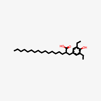 CCCCCCCCCCCCCCCC(Cc1cc(CC)c(O)c(CC)c1)C(=O)O